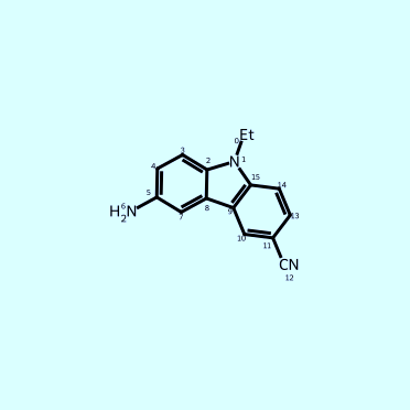 CCn1c2ccc(N)cc2c2cc(C#N)ccc21